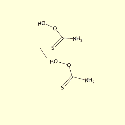 CC.NC(=S)OO.NC(=S)OO